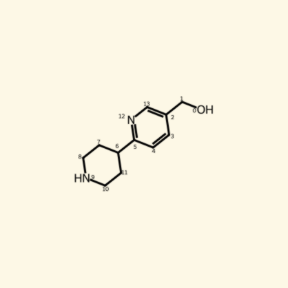 OCc1ccc(C2CCNCC2)nc1